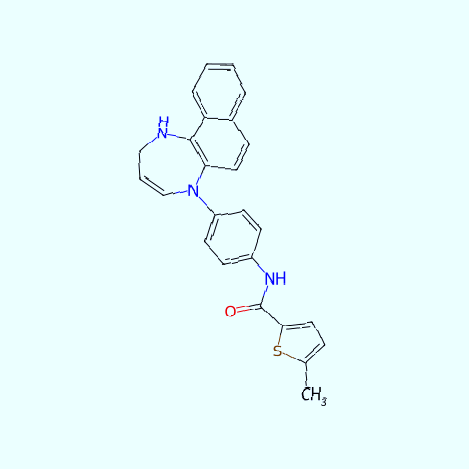 Cc1ccc(C(=O)Nc2ccc(N3C=CCNc4c3ccc3ccccc43)cc2)s1